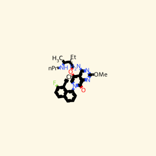 C#Cc1c(F)ccc2cccc(-n3cc(OC[C@@H](CC)C(C)NCCC)c4c(N)nc(OC)nc4c3=O)c12